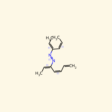 C=C\C=C/C(=C\C)/N=N/C(/C=C\C)=C/C